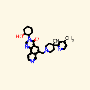 Cc1ccnc(C2(C#N)CCN(Cc3cc4c(=O)n(C5CCCCC5O)cnc4c4ccncc34)CC2)c1